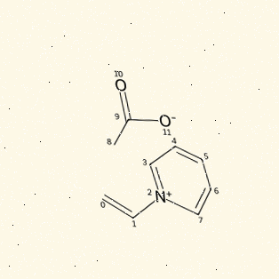 C=C[n+]1ccccc1.CC(=O)[O-]